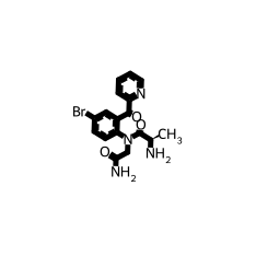 C[C@H](N)C(=O)N(CC(N)=O)c1ccc(Br)cc1C(=O)c1ccccn1